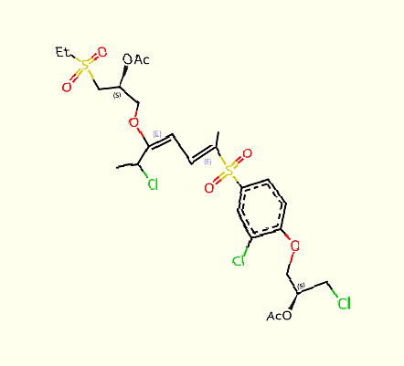 CCS(=O)(=O)C[C@H](CO/C(=C/C=C(\C)S(=O)(=O)c1ccc(OC[C@@H](CCl)OC(C)=O)c(Cl)c1)C(C)Cl)OC(C)=O